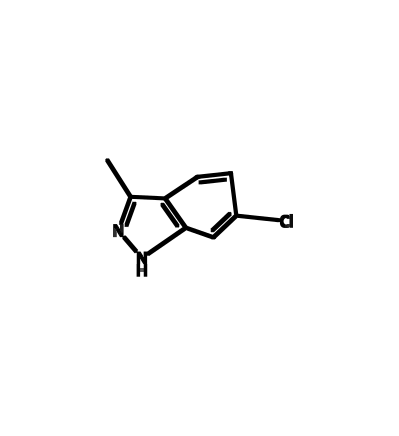 Cc1n[nH]c2cc(Cl)ccc12